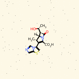 C[C@@H](O)[C@H]1C(=O)N2C(C(=O)O)=C(c3csc4cncn34)[C@H](C)[C@H]12